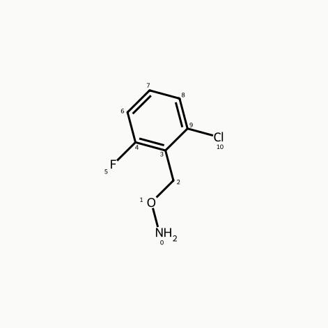 NOCc1c(F)cccc1Cl